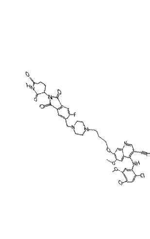 COc1cc(Nc2c(C#N)cnc3cc(OCCCN4CCN(Cc5cc6c(cc5F)C(=O)N(C5CCC(=O)NC5=O)C6=O)CC4)c(OC)cc23)c(Cl)cc1Cl